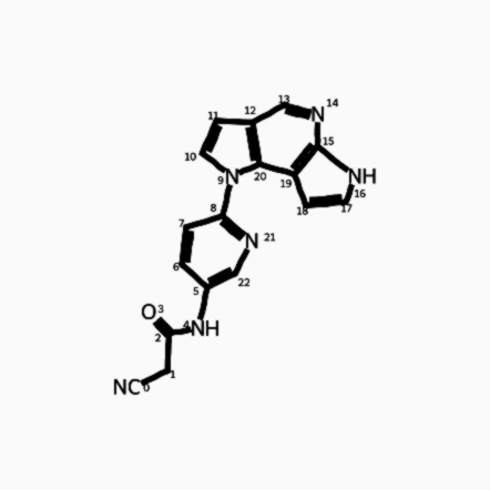 N#CCC(=O)Nc1ccc(-n2ccc3cnc4[nH]ccc4c32)nc1